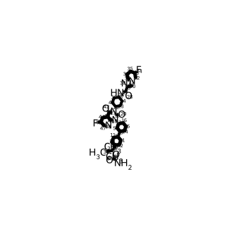 CC(C)(C)C(OC(N)=O)c1ccc(-c2cccc(-n3c(=O)n([C@H]4CC[C@@H](NC(=O)c5cn6cc(F)ccc6n5)CC4)c(=O)c4cc(F)cnc43)c2)cc1